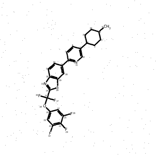 CC1CCC(c2ccc(-c3ccc4nc(C(F)(F)Oc5cc(F)c(F)c(F)c5)sc4c3)nc2)CC1